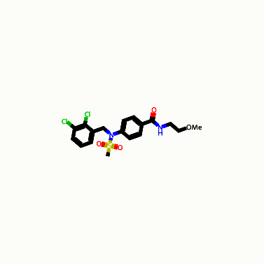 COCCNC(=O)c1ccc(N(Cc2cccc(Cl)c2Cl)S(C)(=O)=O)cc1